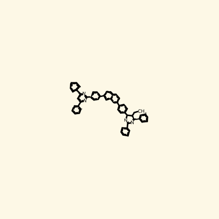 CCC1C(c2ccccc2)=NC(c2ccccc2)=NC1c1ccc(-c2ccc3ccc(-c4ccc(-c5nc(-c6ccccc6)cc(-c6ccccc6)n5)cc4)cc3c2)cc1